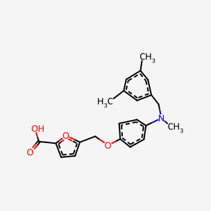 Cc1cc(C)cc(CN(C)c2ccc(OCc3ccc(C(=O)O)o3)cc2)c1